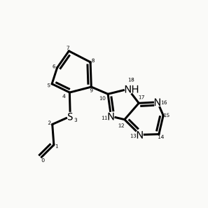 C=CCSc1ccccc1-c1nc2nccnc2[nH]1